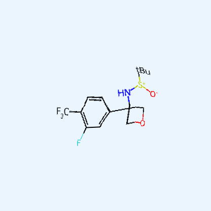 CC(C)(C)[S+]([O-])NC1(c2ccc(C(F)(F)F)c(F)c2)COC1